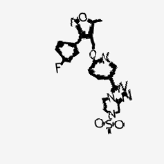 Cc1onc(-c2ccc(F)cc2)c1COc1ccc(-c2nnc3n2CCN(S(C)(=O)=O)C3)cn1